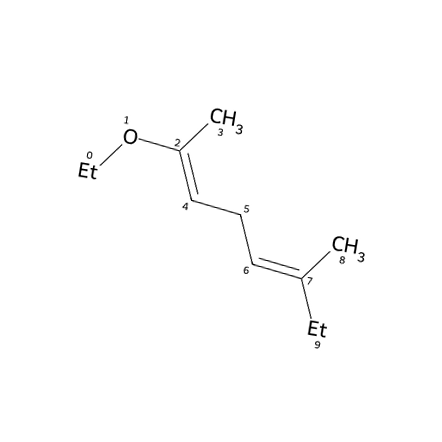 CCOC(C)=CCC=C(C)CC